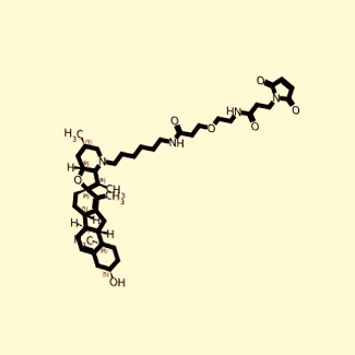 CC1=C2C[C@H]3[C@@H](CC=C4C[C@@H](O)CC[C@@]43C)[C@@H]2CC[C@]12O[C@@H]1C[C@H](C)CN(CCCCCCNC(=O)CCOCCNC(=O)CCN3C(=O)C=CC3=O)C1[C@H]2C